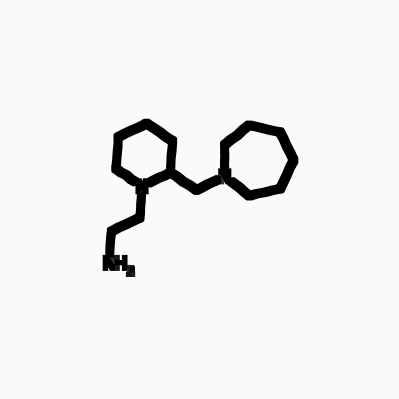 NCCN1CCCCC1CN1CCCCCC1